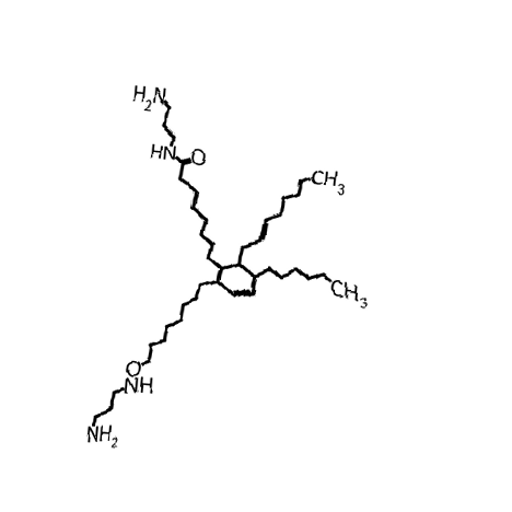 CCCCCC=CCC1C(CCCCCC)C=CC(CCCCCCCCONCCCN)C1CCCCCCCC(=O)NCCCN